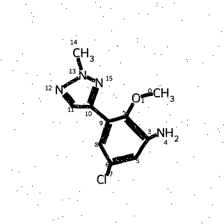 COc1c(N)cc(Cl)cc1-c1cnn(C)n1